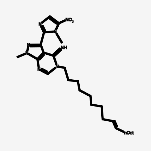 CCCCCCCCC=CCCCCCCCCn1cnc2c(c(-c3ncc([N+](=O)[O-])n3C)nn2C)c1=N